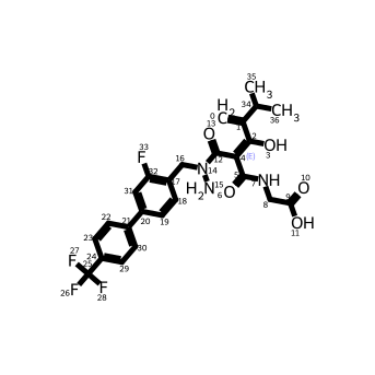 C=C(/C(O)=C(/C(=O)NCC(=O)O)C(=O)N(N)Cc1ccc(-c2ccc(C(F)(F)F)cc2)cc1F)C(C)C